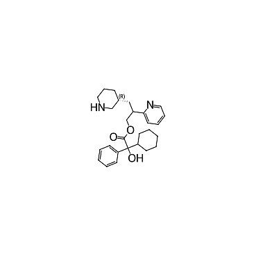 O=C(OCC(C[C@H]1CCCNC1)c1ccccn1)C(O)(c1ccccc1)C1CCCCC1